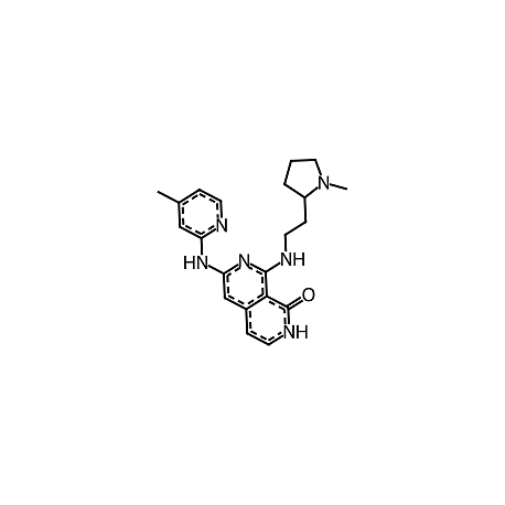 Cc1ccnc(Nc2cc3cc[nH]c(=O)c3c(NCCC3CCCN3C)n2)c1